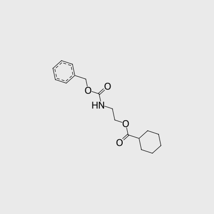 O=C(NCCOC(=O)C1CCCCC1)OCc1ccccc1